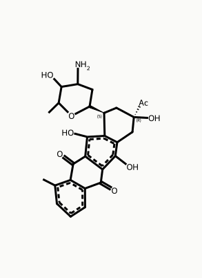 CC(=O)[C@]1(O)Cc2c(O)c3c(c(O)c2[C@@H](C2CC(N)C(O)C(C)O2)C1)C(=O)c1c(C)cccc1C3=O